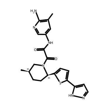 Cc1cc(NC(=O)C(=O)N2C[C@H](C)CC[C@@H]2c2ccc(-c3ccn[nH]3)s2)cnc1N